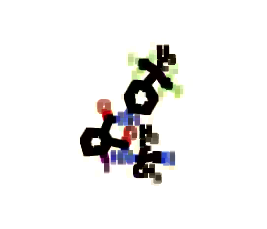 CC(C)(C#N)NC(=O)c1c(I)cccc1C(=O)Nc1ccc(C(C)(C(F)(F)F)C(F)(F)F)cc1